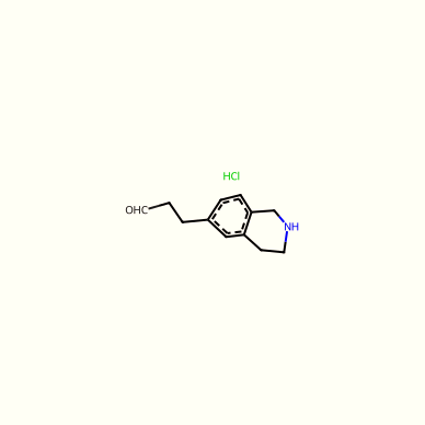 Cl.O=CCCc1ccc2c(c1)CCNC2